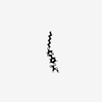 CCCCCCCCOc1cnc(-c2ccc(OC(=O)C(C)OC)cc2)nc1